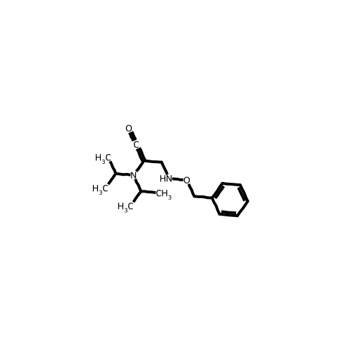 CC(C)N(C(=C=O)CNOCc1ccccc1)C(C)C